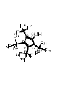 OC1=C(C(F)(F)F)C(C(F)(F)F)=C(C(F)(F)F)C1C(F)(F)F